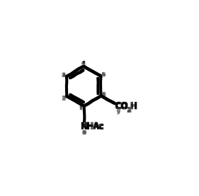 CC(=O)Nc1cc[c]cc1C(=O)O